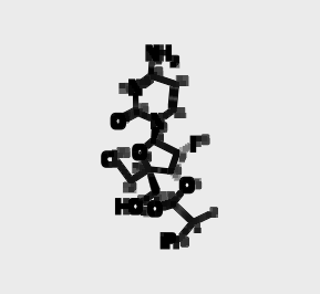 CC(C)C(C)C(=O)O[C@H]1[C@@H](F)[C@H](n2ccc(N)nc2=O)O[C@@]1(CO)CCl